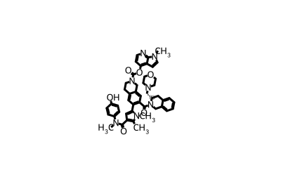 Cc1c(C(=O)N(C)c2ccc(O)cc2)cc(-c2cc3c(cc2C(=O)N2Cc4ccccc4C[C@H]2CN2CCOCC2)CN(C(=O)Oc2ccnc4c2ccn4C)CC3)n1C